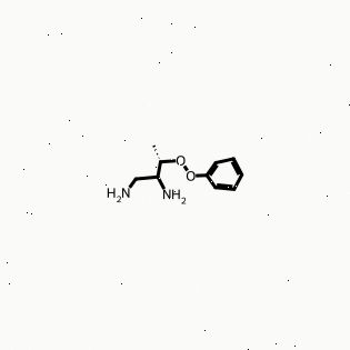 C[C@H](OOc1ccccc1)C(N)CN